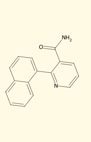 NC(=O)c1cccnc1-c1cccc2ccccc12